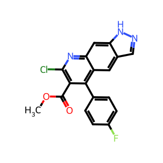 COC(=O)c1c(Cl)nc2cc3[nH]ncc3cc2c1-c1ccc(F)cc1